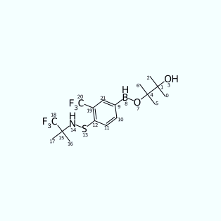 CC(C)(O)C(C)(C)OBc1ccc(SNC(C)(C)C(F)(F)F)c(C(F)(F)F)c1